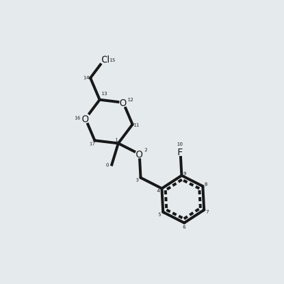 CC1(OCc2ccccc2F)COC(CCl)OC1